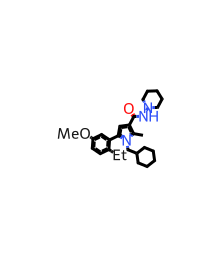 CCc1ccc(OC)cc1-c1cc(C(=O)NN2CCCCC2)c(C)n1CC1CCCCC1